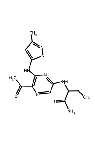 CCC(Nc1cnc(C(C)=O)c(Nc2cc(C)ns2)n1)C(N)=O